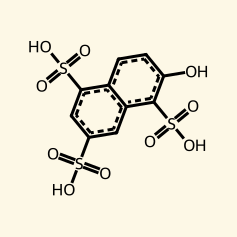 O=S(=O)(O)c1cc(S(=O)(=O)O)c2ccc(O)c(S(=O)(=O)O)c2c1